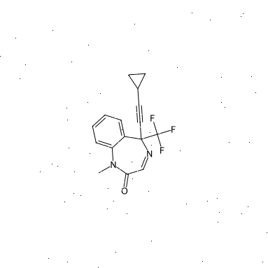 CN1C(=O)C=NC(C#CC2CC2)(C(F)(F)F)c2ccccc21